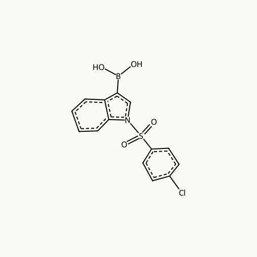 O=S(=O)(c1ccc(Cl)cc1)n1cc(B(O)O)c2ccccc21